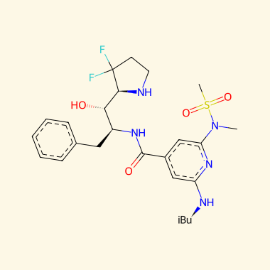 CC[C@H](C)Nc1cc(C(=O)N[C@@H](Cc2ccccc2)[C@H](O)[C@@H]2NCCC2(F)F)cc(N(C)S(C)(=O)=O)n1